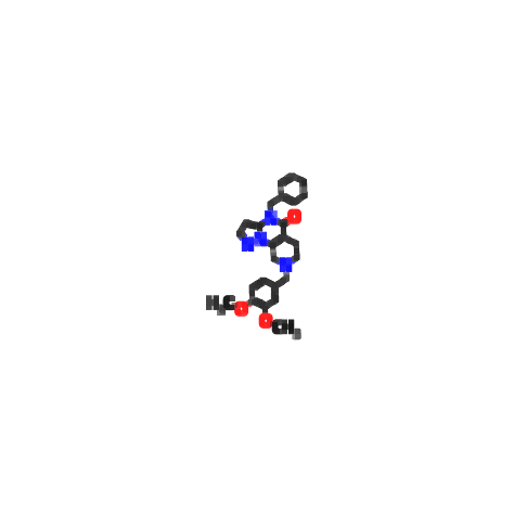 COc1ccc(CN2CCc3c(n4nccc4n(Cc4ccccc4)c3=O)C2)cc1OC